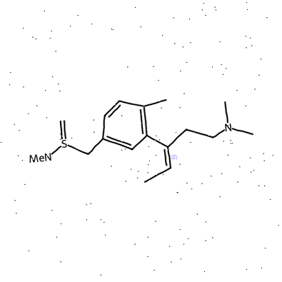 C=S(Cc1ccc(C)c(/C(=C\C)CCN(C)C)c1)NC